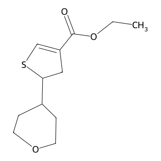 CCOC(=O)C1=CSC(C2CCOCC2)C1